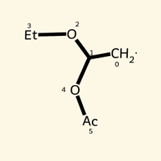 [CH2]C(OCC)OC(C)=O